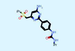 CC(C)NC(=O)Nc1ccc(-c2nc(N)cc(CS(=O)(=O)C(C)C)n2)cc1